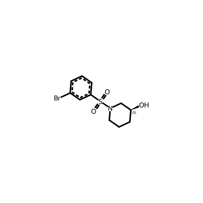 O=S(=O)(c1cccc(Br)c1)N1CCC[C@H](O)C1